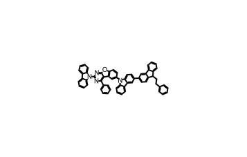 c1ccc(CCC2c3ccccc3-c3cc(-c4ccc5c(c4)c4ccccc4n5-c4ccc5oc6nc(-n7c8ccccc8c8ccccc87)nc(-c7ccccc7)c6c5c4)ccc32)cc1